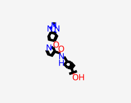 Cn1nc2ccc(Oc3ncccc3C(=O)NCC3CC4CC3CC4C(C)(C)O)cc2n1